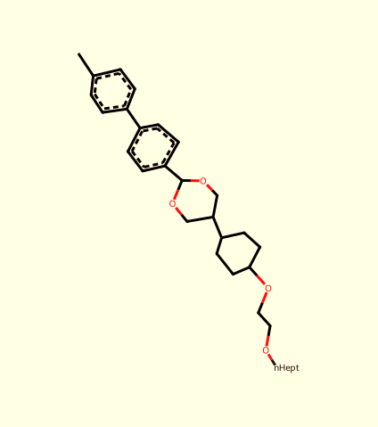 [CH2+][CH-]CCCCCOCCOC1CCC(C2COC(c3ccc(-c4ccc(C)cc4)cc3)OC2)CC1